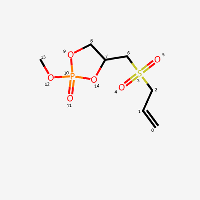 C=CCS(=O)(=O)CC1COP(=O)(OC)O1